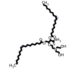 CCCCCCCC/C=C\CCCCCCCC(=O)OCC(OCCN(CCO)CCO)C(OC(=O)CCCCCCC/C=C\CCCCCCCC)C(N)=S